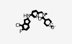 CN(Cc1ccc(NC2Cc3ccc(F)c(Cl)c3C2)cn1)C(=O)C1CC[S+]([O-])CC1